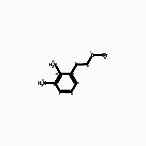 CC(C)OCCc1cccc(N)c1N